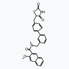 COc1cc2ccccc2cc1C(=O)N(C)Cc1cccc(-c2ccc(CC3SC(=O)NC3=O)cc2)c1